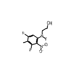 Cc1c(F)cc(N(F)CCO)c([N+](=O)[O-])c1F